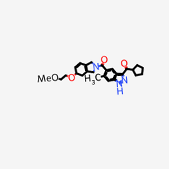 COCCOC1C=CC2=C(C1)CN(C(=O)c1cc3c(C(=O)C4CCCC4)n[nH]c3cc1C)C2